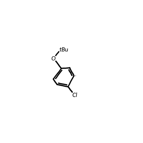 CC(C)(C)Oc1c[c]c(Cl)cc1